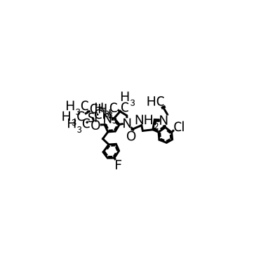 C#CCn1cc(C[C@H](N)C(=O)N2CC(C)(C)c3nc(O[Si](C)(C)C(C)(C)C)c(Cc4ccc(F)cc4)cc32)c2cccc(Cl)c21